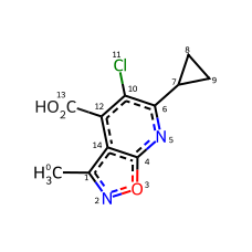 Cc1noc2nc(C3CC3)c(Cl)c(C(=O)O)c12